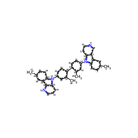 Cc1ccc2c(c1)c1cnccc1n2-c1ccc(-c2ccc(-n3c4ccc(C)cc4c4ncccc43)cc2C)c(C)c1